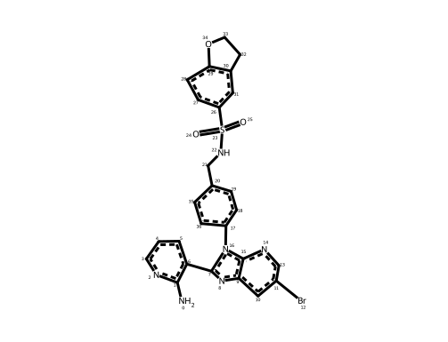 Nc1ncccc1-c1nc2cc(Br)cnc2n1-c1ccc(CNS(=O)(=O)c2ccc3c(c2)CCO3)cc1